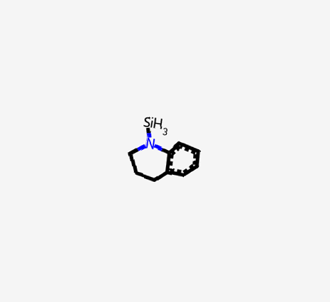 [SiH3]N1CCCc2ccccc21